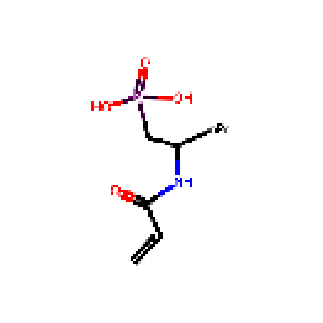 C=CC(=O)NC(CCC)CP(=O)(O)O